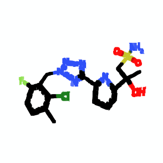 Cc1ccc(F)c(Cn2nnc(-c3cccc(C(C)(O)CS(N)(=O)=O)n3)n2)c1Cl